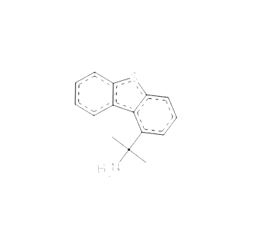 CC(C)(N)c1cccc2sc3ccccc3c12